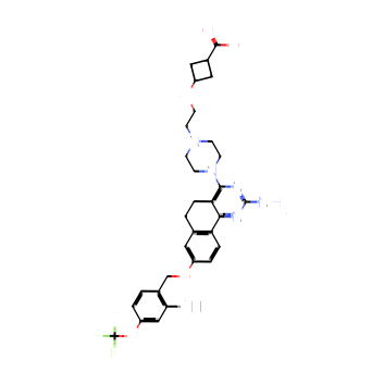 Cc1cc(OC(F)(F)F)ccc1COc1ccc2c(c1)CCc1c-2nc(N)nc1N1CCN(CCOC2CC(C(=O)O)C2)CC1